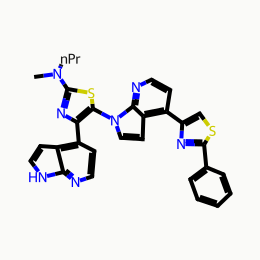 CCCN(C)c1nc(-c2ccnc3[nH]ccc23)c(-n2ccc3c(-c4csc(-c5ccccc5)n4)ccnc32)s1